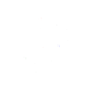 O=C(O)c1cccnc1OC(F)C(F)F